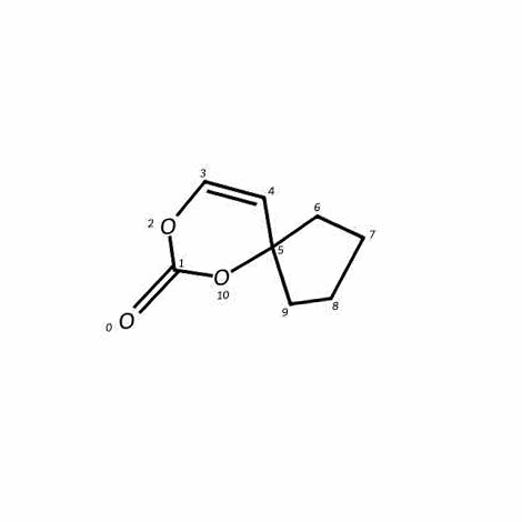 O=C1OC=CC2(CCCC2)O1